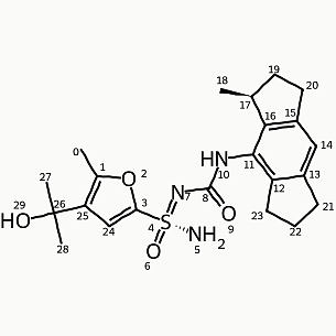 Cc1oc([S@](N)(=O)=NC(=O)Nc2c3c(cc4c2[C@@H](C)CC4)CCC3)cc1C(C)(C)O